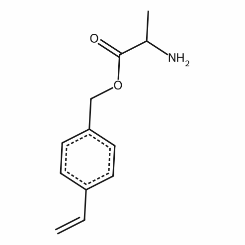 C=Cc1ccc(COC(=O)C(C)N)cc1